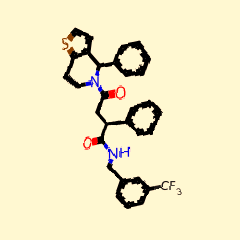 O=C(NCc1cccc(C(F)(F)F)c1)C(CC(=O)N1CCc2sccc2C1c1ccccc1)c1ccccc1